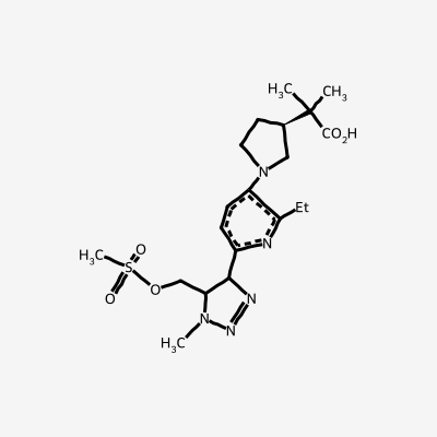 CCc1nc(C2N=NN(C)C2COS(C)(=O)=O)ccc1N1CC[C@@H](C(C)(C)C(=O)O)C1